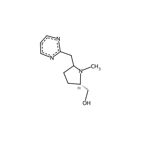 CN1C(Cc2ncccn2)CC[C@H]1CO